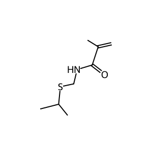 C=C(C)C(=O)NCSC(C)C